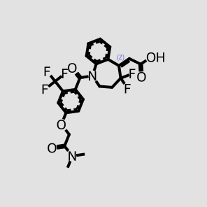 CN(C)C(=O)COc1ccc(C(=O)N2CCC(F)(F)/C(=C\C(=O)O)c3ccccc32)c(C(F)(F)F)c1